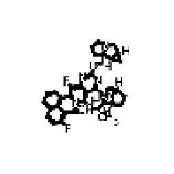 C#Cc1c(F)ccc2cccc(-c3nc4c5c(nc(OC[C@@]67CCCN6C[C@H]6C[C@H]67)nc5c3F)N3C[C@H]5CC[C@H](N5)[C@H]3[C@H](C)O4)c12